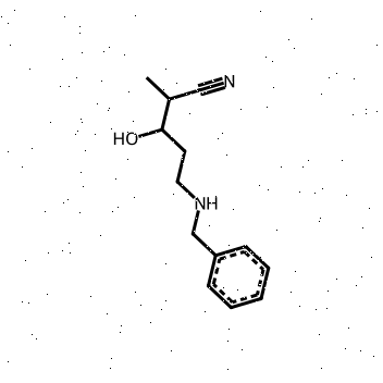 CC(C#N)C(O)CCNCc1ccccc1